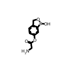 NCC(=O)Oc1ccc2c(c1)B(O)OC2